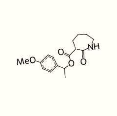 COc1ccc(C(C)OC(=O)C2CCCCNC2=O)cc1